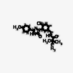 Cc1ccc(-c2nn(-c3cc(CNC(=O)C(C)(C)C)ccc3Cl)c(=O)[nH]2)cc1